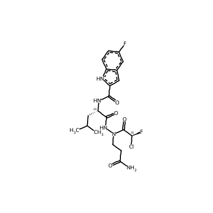 CC(C)C[C@H](NC(=O)c1cc2cc(F)ccc2[nH]1)C(=O)NN(CCC(N)=O)C(=O)[C@@H](F)Cl